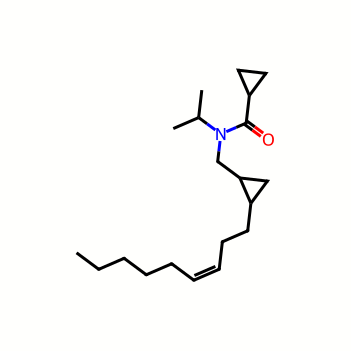 CCCCC/C=C\CCC1CC1CN(C(=O)C1CC1)C(C)C